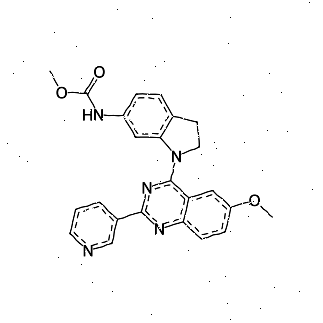 COC(=O)Nc1ccc2c(c1)N(c1nc(-c3cccnc3)nc3ccc(OC)cc13)CC2